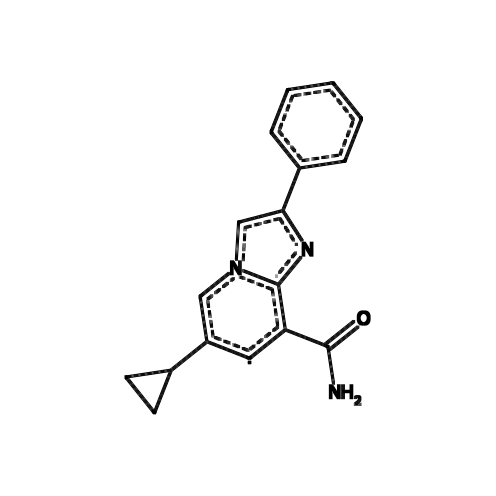 NC(=O)c1[c]c(C2CC2)cn2cc(-c3ccccc3)nc12